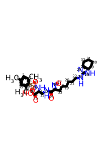 Cc1cc(C)c(S(=O)(=O)NC(CNC(=O)C2=NOC(CCCCNc3nc4c([nH]3)CCCC4)C2)C(=O)O)c(C)c1